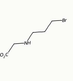 O=C(O)CNCCCBr